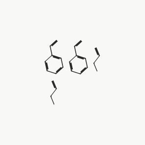 C=CCC.C=CCC.C=Cc1ccccc1.C=Cc1ccccc1